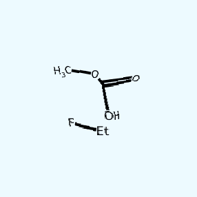 CCF.COC(=O)O